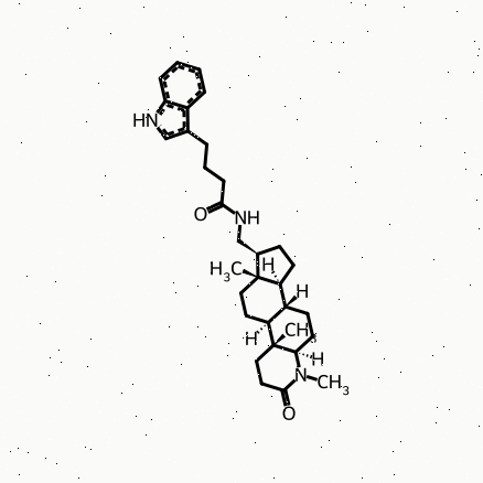 CN1C(=O)CC[C@]2(C)[C@H]3CC[C@]4(C)[C@@H](CNC(=O)CCCc5c[nH]c6ccccc56)CC[C@H]4[C@@H]3CC[C@@H]12